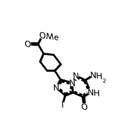 COC(=O)C1CCC(c2nc(I)c3c(=O)[nH]c(N)nn23)CC1